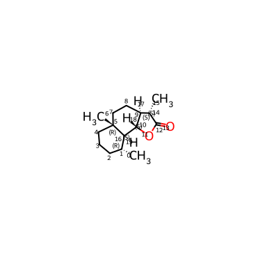 C[C@@H]1CCC[C@]2(C)CC[C@@H]3[C@H](OC(=O)[C@H]3C)[C@@H]12